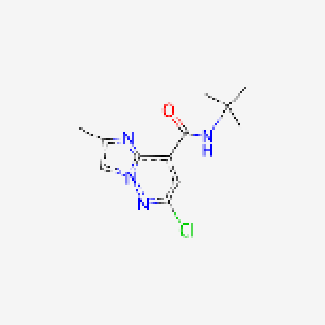 Cc1cn2nc(Cl)cc(C(=O)NC(C)(C)C)c2n1